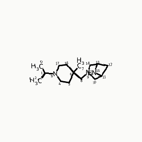 CC(C)N1CCC(C)(CN2CC3CC(C2)N3)CC1